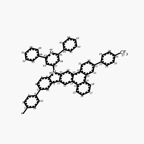 Cc1ccc(-c2ccc3c(c2)c2cc4c5ccccc5c5cc(-c6ccc(C(F)(F)F)cc6)ccc5c4cc2n3-c2cc(-c3ccccc3)nc(-c3ccccc3)c2)cc1